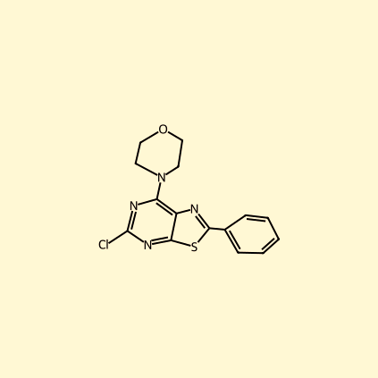 Clc1nc(N2CCOCC2)c2nc(-c3ccccc3)sc2n1